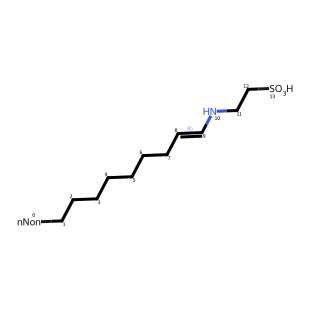 CCCCCCCCCCCCCCCC/C=C/NCCS(=O)(=O)O